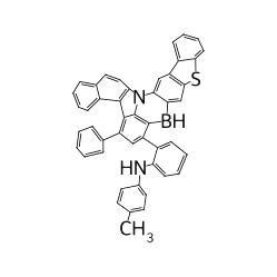 Cc1ccc(Nc2ccccc2-c2cc(-c3ccccc3)c3c4c5ccccc5ccc4n4c3c2Bc2cc3sc5ccccc5c3cc2-4)cc1